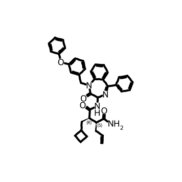 C=CC[C@H](C(N)=O)[C@@H](CC1CCC1)C(=O)NC1N=C(c2ccccc2)c2ccccc2N(Cc2cccc(Oc3ccccc3)c2)C1=O